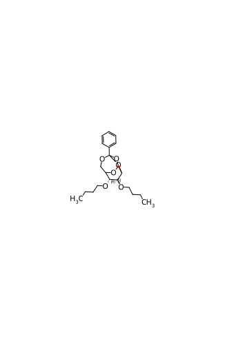 CCCCO[C@@H]1C2COC3(c4ccccc4)OC(O2)C(O3)[C@H]1OCCCC